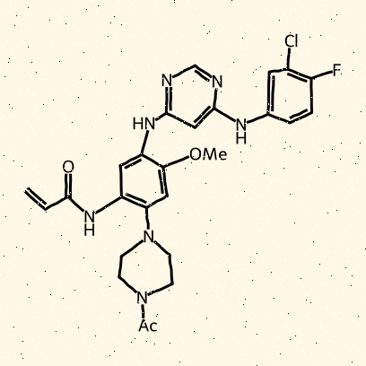 C=CC(=O)Nc1cc(Nc2cc(Nc3ccc(F)c(Cl)c3)ncn2)c(OC)cc1N1CCN(C(C)=O)CC1